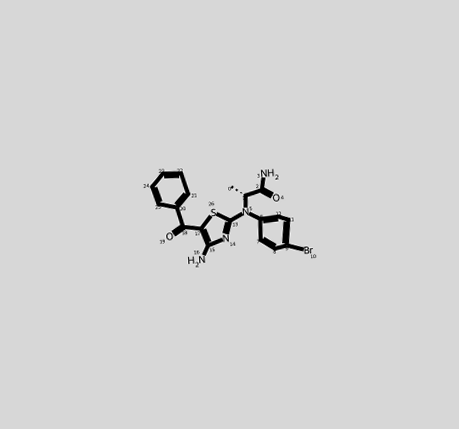 C[C@H](C(N)=O)N(c1ccc(Br)cc1)c1nc(N)c(C(=O)c2ccccc2)s1